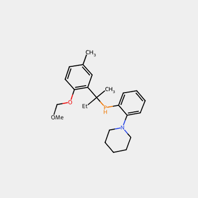 CCC(C)(Pc1ccccc1N1CCCCC1)c1cc(C)ccc1OCOC